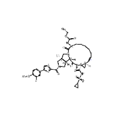 COc1ccc(-c2csc(C(=O)N3C[C@H]4CN5C(=O)[C@@H](NC(=O)OCC(C)(C)C)CCCCC/C=C\[C@H]6C[C@@]6(C(=O)NS(=O)(=O)C6CC6)NC(=O)[C@@H]5[C@H]4C3)n2)cc1F